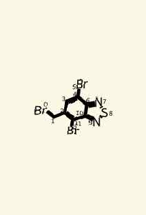 BrCc1cc(Br)c2nsnc2c1Br